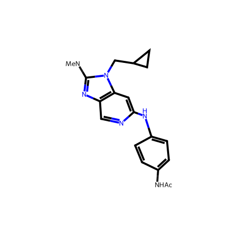 CNc1nc2cnc(Nc3ccc(NC(C)=O)cc3)cc2n1CC1CC1